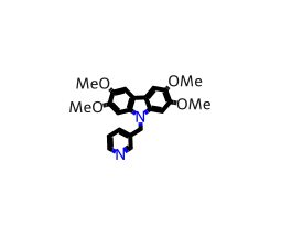 COc1cc2c3cc(OC)c(OC)cc3n(Cc3cccnc3)c2cc1OC